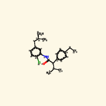 CC(C(C(=O)Nc1cc(C[C@H](C)C(=O)O)ccc1Cl)c1ccc(CC(F)(F)F)cc1)C(F)(F)F